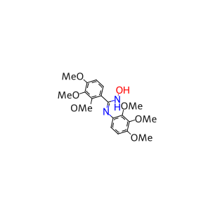 COc1ccc(/N=C(\NO)c2ccc(OC)c(OC)c2OC)c(OC)c1OC